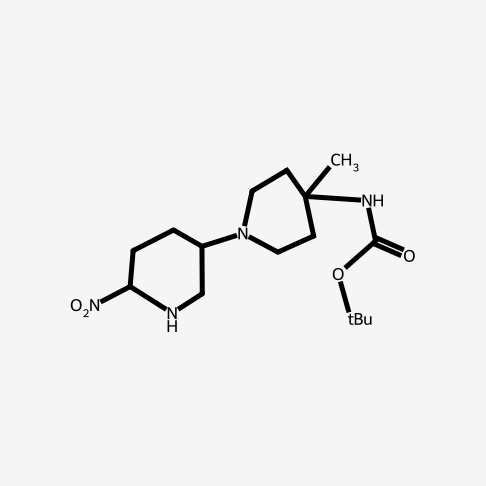 CC1(NC(=O)OC(C)(C)C)CCN(C2CCC([N+](=O)[O-])NC2)CC1